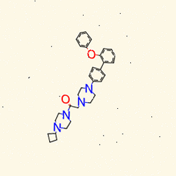 O=C(CN1CCN(c2ccc(-c3ccccc3Oc3ccccc3)cc2)CC1)N1CCN(C2CCC2)CC1